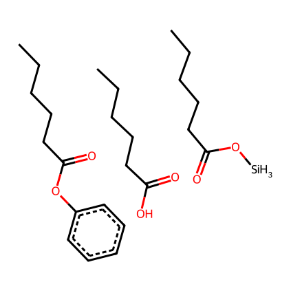 CCCCCC(=O)O.CCCCCC(=O)O[SiH3].CCCCCC(=O)Oc1ccccc1